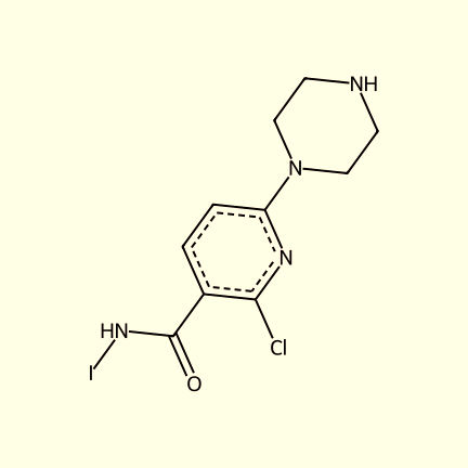 O=C(NI)c1ccc(N2CCNCC2)nc1Cl